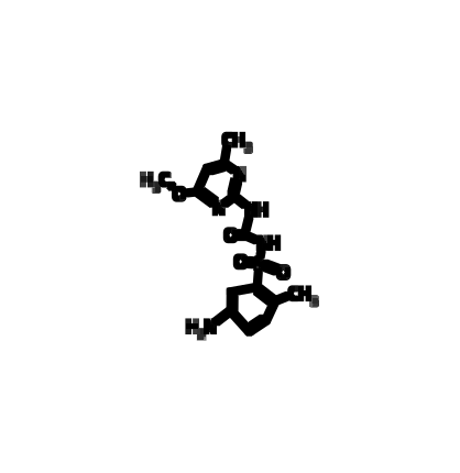 COc1cc(C)nc(NC(=O)NS(=O)(=O)c2cc(N)ccc2C)n1